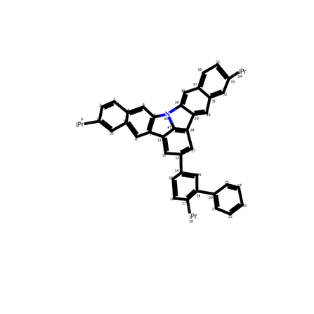 CC(C)c1ccc2cc3c(cc2c1)c1cc(-c2ccc(C(C)C)c(-c4ccccc4)c2)cc2c4cc5cc(C(C)C)ccc5cc4n3c12